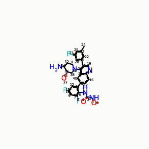 CONC(=O)Nc1c(F)cc(F)cc1-c1ccc2ncc(-c3cc(C)cc(F)c3)c(N3CC[C@@H](N)[C@H](OC)C3)c2c1